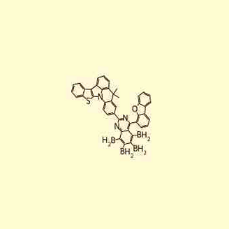 Bc1c(B)c(B)c2c(-c3cccc4c3oc3ccccc34)nc(-c3ccc4c(c3)C(C)(C)c3cccc5c6c7ccccc7sc6n-4c35)nc2c1B